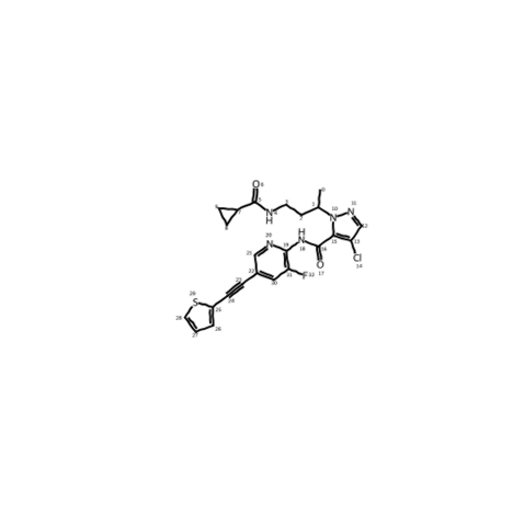 CC(CCNC(=O)C1CC1)n1ncc(Cl)c1C(=O)Nc1ncc(C#Cc2cccs2)cc1F